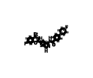 CCN(NC(=O)c1cc2c(NC(=O)c3ccc(N4CCN(C)CC4)cc3)n[nH]c2s1)c1ccc(F)cc1